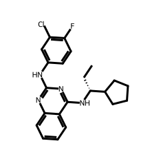 CC[C@@H](Nc1nc(Nc2ccc(F)c(Cl)c2)nc2ccccc12)C1CCCC1